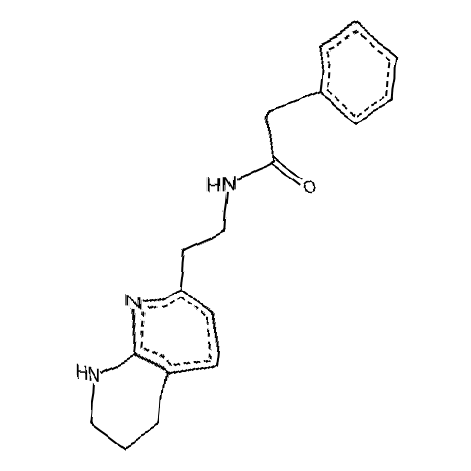 O=C(Cc1ccccc1)NCCc1ccc2c(n1)NCCC2